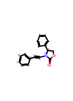 O=C1OCC(c2ccccc2)N1C#Cc1ccccc1